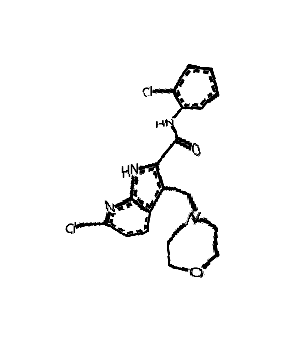 O=C(Nc1ccccc1Cl)c1[nH]c2nc(Cl)ccc2c1CN1CCOCC1